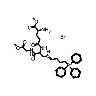 COC(=O)CNC(=O)C(C[SH]=CCCC[P+](c1ccccc1)(c1ccccc1)c1ccccc1)NC(=O)CCC(N)C(=O)OC.[Br-]